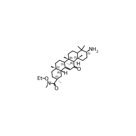 CCON(C)C(=O)[C@@]1(C)CC[C@]2(C)CC[C@]3(C)C(=CC(=O)[C@@H]4[C@@]5(C)CC[C@H](N)C(C)(C)C5CC[C@]43C)[C@@H]2C1